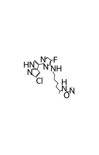 CC(CCCCCNc1nc(-c2c[nH]c3ncc(Cl)cc23)ncc1F)NC(=O)N(C)C